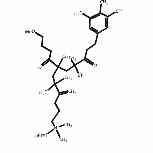 C=C(CCC[N+](C)(C)CCCCC)C(C)(C)CC(C)(CC(C)(CC)C(=O)CCc1cc(C)c(C)c(C)c1)C(=O)CCCOC